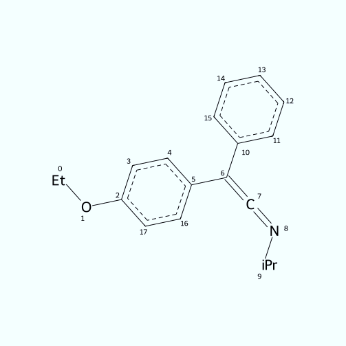 CCOc1ccc(C(=C=NC(C)C)c2ccccc2)cc1